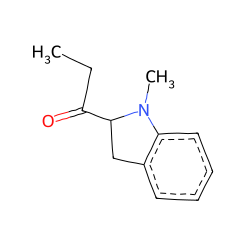 CCC(=O)C1Cc2ccccc2N1C